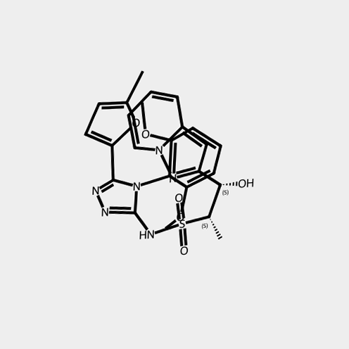 COc1cccc(OC)c1-n1c(NS(=O)(=O)[C@@H](C)[C@@H](O)c2cc3ccccn3n2)nnc1-c1ccc(C)o1